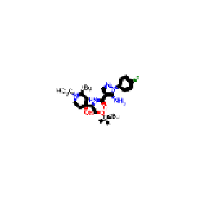 CC(C)(C)C1CC(O)(C(CO[Si](C)(C)C(C)(C)C)NC(=O)c2cnn(-c3ccc(F)cc3)c2N)CCN1C(=O)O